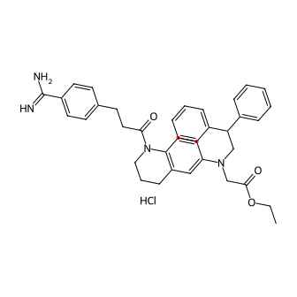 CCOC(=O)CN(CC(c1ccccc1)c1ccccc1)c1ccc2c(c1)CCCN2C(=O)CCc1ccc(C(=N)N)cc1.Cl